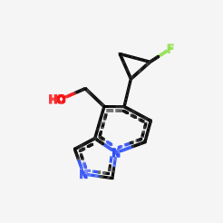 OCc1c(C2CC2F)ccn2cncc12